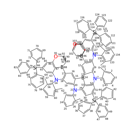 Cc1ccccc1N1c2cc3c(cc2B2c4cc5c(cc4N(c4ccccc4C)c4cc([Si](c6ccccc6)(c6ccccc6)c6ccccc6)cc1c42)N(c1c(C)cccc1C)c1cc([Si](c2ccccc2)(c2ccccc2)c2ccccc2)cc2c1B5c1ccccc1O2)B1c2ccccc2Oc2cc([Si](c4ccccc4)(c4ccccc4)c4ccccc4)cc(c21)N3c1c(C)cccc1C